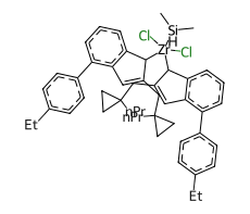 CCCC1(CC2=Cc3c(-c4ccc(CC)cc4)cccc3[CH]2[Zr]([Cl])([Cl])([CH]2C(CC3(CCC)CC3)=Cc3c(-c4ccc(CC)cc4)cccc32)[SiH](C)C)CC1